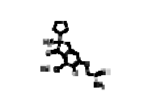 CC1(C2CCCC2)Cc2cc(OCC(=N)N)c(Cl)c(Cl)c2C1=O.Cl